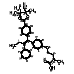 CC/C(=C(/c1ccc(OCCN(C)C(=O)O)cc1)c1ccc(B2OC(C)(C)C(C)(C)O2)cc1)c1ccccc1